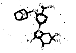 Cc1cn(-c2ccc(C(N)=O)c(NC3CC4CCC(C3)N4C)c2)c2c1C(=O)CC(C)(C)C2